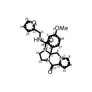 COc1ccc(C23Cn4cccc4C(=O)N2CCN3C(=O)NCc2ccco2)cc1